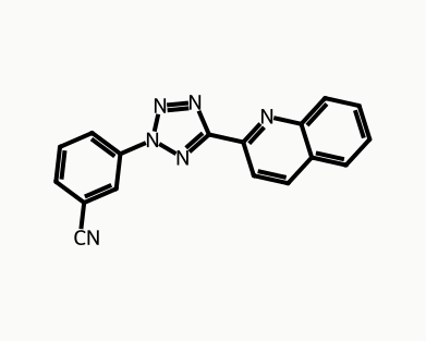 N#Cc1cccc(-n2nnc(-c3ccc4ccccc4n3)n2)c1